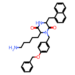 NCCCCCC1C(=O)NC(Cc2cccc3ccccc23)C(=O)N1Cc1ccc(OCc2ccccc2)cc1